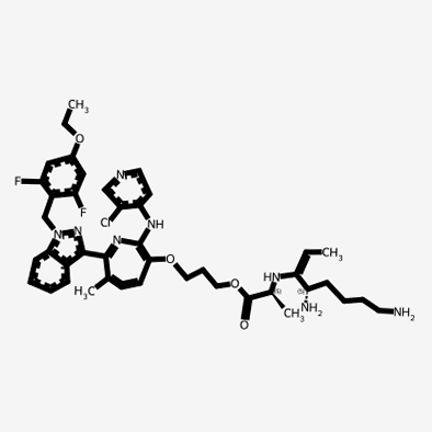 CC=C(N[C@@H](C)C(=O)OCCCOC1=C(Nc2ccncc2Cl)N=C(c2nn(Cc3c(F)cc(OCC)cc3F)c3ccccc23)C(C)=C=C1)[C@@H](N)CCCCN